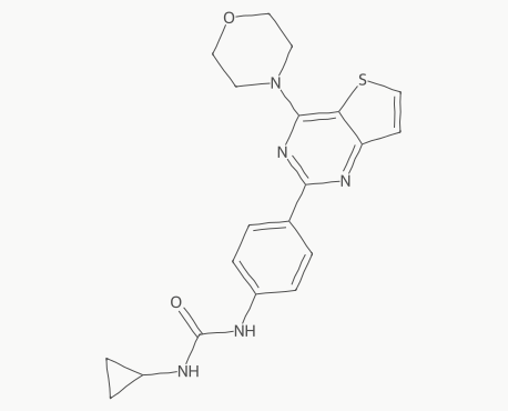 O=C(Nc1ccc(-c2nc(N3CCOCC3)c3sccc3n2)cc1)NC1CC1